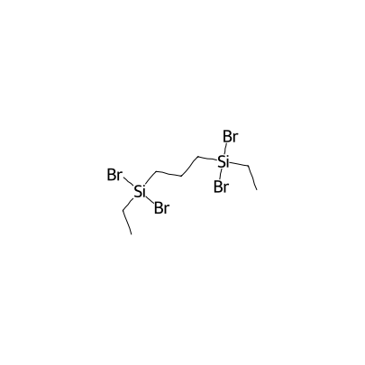 CC[Si](Br)(Br)CCC[Si](Br)(Br)CC